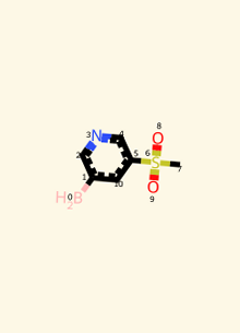 Bc1cncc(S(C)(=O)=O)c1